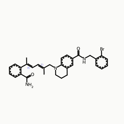 C/C(=C\C=C(/C)c1ccccc1C(N)=O)CN1CCCc2cc(C(=O)NCc3ccccc3Br)ccc21